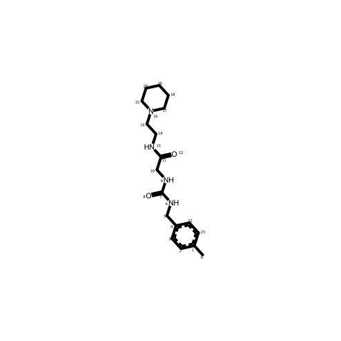 Cc1ccc(CNC(=O)NCC(=O)NCCN2CCCCC2)cc1